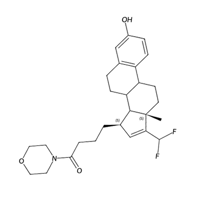 C[C@]12CCC3c4ccc(O)cc4CCC3C1[C@H](CCCC(=O)N1CCOCC1)C=C2C(F)F